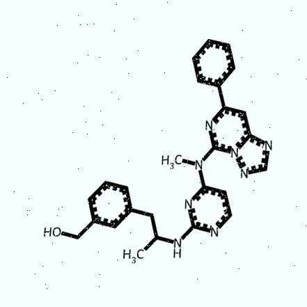 CC(Cc1cccc(CO)c1)Nc1nccc(N(C)c2nc(-c3ccccc3)cc3ncnn23)n1